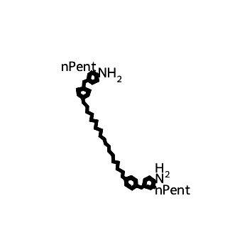 CCCCCc1cc(Cc2ccc(CCCCCCCCCCCCCCCCCCCc3ccc(Cc4ccc(N)c(CCCCC)c4)cc3)cc2)ccc1N